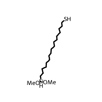 CO[SiH](CCCCCCCCCCCCCCCCCS)OC